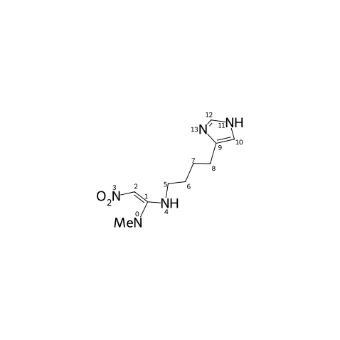 CNC(=C[N+](=O)[O-])NCCCCc1c[nH]cn1